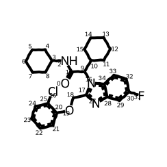 O=C(NC1CCCCC1)C(C1CCCCC1)n1c(COc2ccccc2Cl)nc2cc(F)ccc21